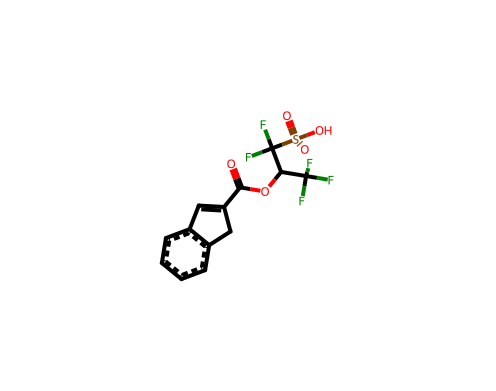 O=C(OC(C(F)(F)F)C(F)(F)S(=O)(=O)O)C1=Cc2ccccc2C1